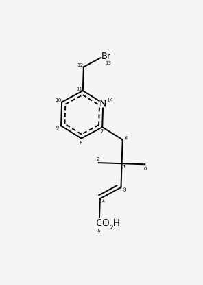 CC(C)(C=CC(=O)O)Cc1cccc(CBr)n1